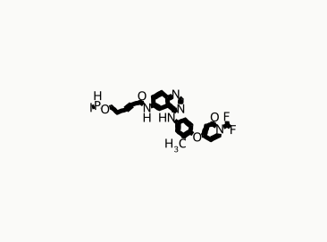 Cc1cc(Nc2ncnc3ccc(NC(=O)C#CCCOPI)cc23)ccc1Oc1ccn(C(F)F)c(=O)c1